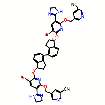 N#Cc1cncc(COc2nc(OC3CCc4c(-c5cccc6c5CC[C@@H]6Oc5nc(OCc6cncc(C#N)c6)c(C6=NCCN6)cc5Br)cccc43)c(Br)cc2C2=NCCN2)c1